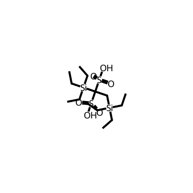 CC[Si](CC)(CC)CC([Si](CC)(CC)CC)(S(=O)(=O)O)S(=O)(=O)O